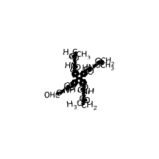 C=C(C)C(=O)OCCNC(=O)Oc1ccc(C(c2ccc(OC(=O)NCCOC=O)cc2)C(c2ccc(OC(=O)NCCOC(=O)C(=C)C)cc2)c2ccc(OC(=O)NCCOC(=O)C(=C)C)cc2)cc1